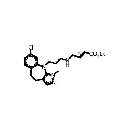 CCOC(=O)/C=C/CNCCCN1c2cc(Cl)ccc2CCc2cnn(C)c21